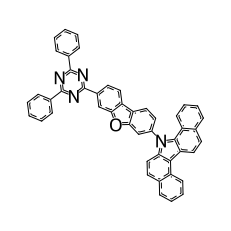 c1ccc(-c2nc(-c3ccccc3)nc(-c3ccc4c(c3)oc3cc(-n5c6ccc7ccccc7c6c6ccc7ccccc7c65)ccc34)n2)cc1